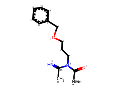 CNC(=O)N(CCCOCc1ccccc1)C(C)=N